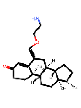 CC(=O)[C@H]1CC[C@H]2[C@@H]3CC(=COCCN)C4=CC(=O)CC[C@]4(C)[C@H]3CC[C@]12C